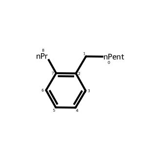 CCCCCCc1[c]cccc1CCC